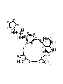 CN1CCCN(C)C(=O)COc2cc(ccc2NC(=O)NC2CCCC2)/N=C2/N=CNc3[nH]cc(c32)C1